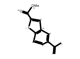 C=C(C)c1ccc2sc(C(=O)OC)cc2c1